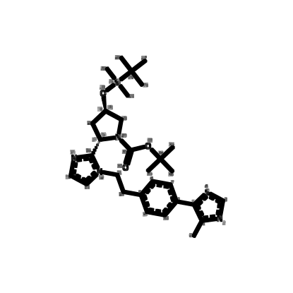 Cc1ncsc1-c1ccc(CCn2ccnc2[C@@H]2C[C@@H](O[Si](C)(C)C(C)(C)C)CN2C(=O)OC(C)(C)C)cc1